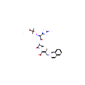 CC(C)(ON=C(C(=O)NC1C(=O)N2C(C(=O)[O-])=C(C[n+]3ccc4ccccc4c3)CS[C@@H]12)c1nsc(N)n1)C(=O)O